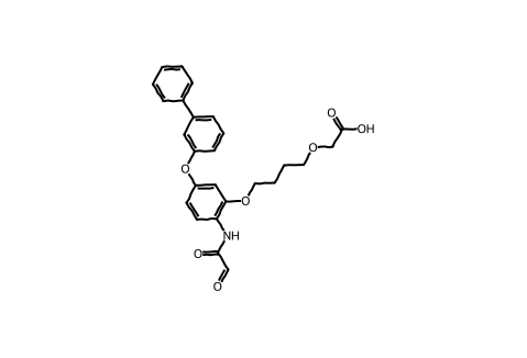 O=CC(=O)Nc1ccc(Oc2cccc(-c3ccccc3)c2)cc1OCCCCOCC(=O)O